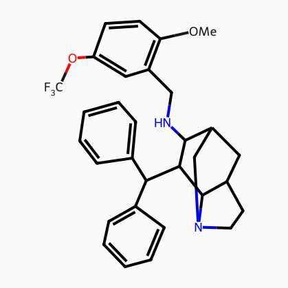 COc1ccc(OC(F)(F)F)cc1CNC1C2CC3CCN(C2)C3C1C(c1ccccc1)c1ccccc1